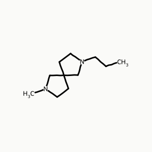 CCCN1CCC2(CCN(C)C2)C1